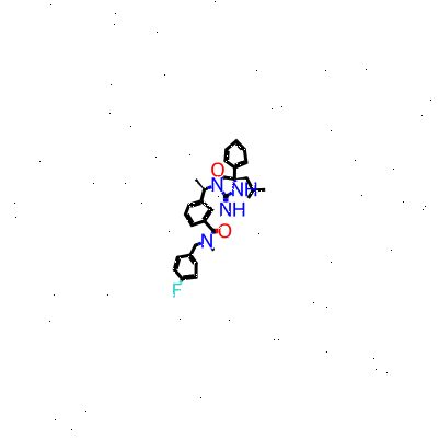 CC(C)C[C@@]1(c2ccccc2)NC(=N)N([C@H](C)c2cccc(C(=O)N(C)Cc3ccc(F)cc3)c2)C1=O